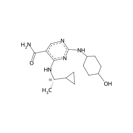 C[C@H](Nc1nc(NC2CCC(O)CC2)ncc1C(N)=O)C1CC1